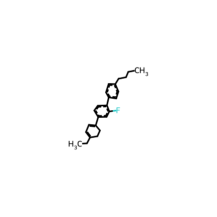 CCCCc1ccc(-c2ccc(C3=CC=C(CC)CC3)cc2F)cc1